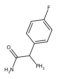 NC(=O)C(P)c1ccc(F)cc1